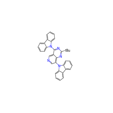 CC(C)(C)c1nc(-n2c3ccccc3c3ccccc32)c2cncc(-n3c4ccccc4c4ccccc43)c2n1